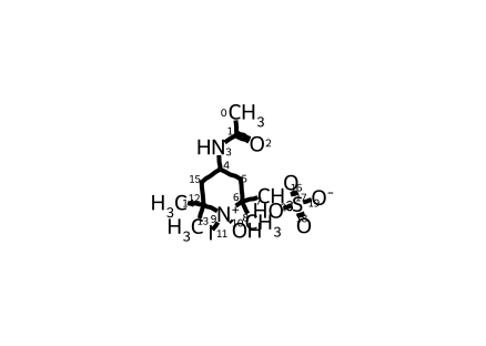 CC(=O)NC1CC(C)(C)[N+](O)(I)C(C)(C)C1.O=S(=O)([O-])O